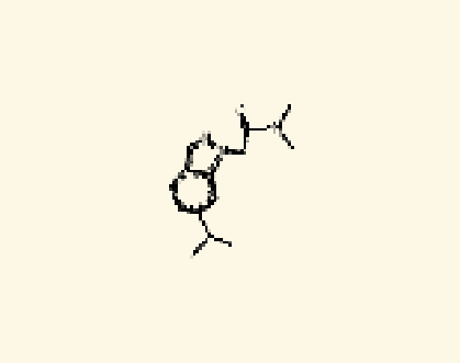 CC(C)c1ccc2cnn(CC(=O)N(C)C)c2c1